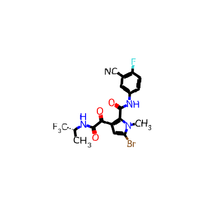 C[C@@H](NC(=O)C(=O)c1cc(Br)n(C)c1C(=O)Nc1ccc(F)c(C#N)c1)C(F)(F)F